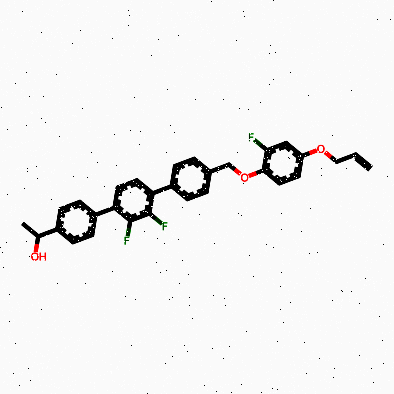 C=CCOc1ccc(OCc2ccc(-c3ccc(-c4ccc(C(C)O)cc4)c(F)c3F)cc2)c(F)c1